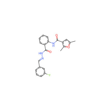 Cc1cc(C(=O)Nc2ccccc2C(=O)NN=Cc2cccc(F)c2)c(C)o1